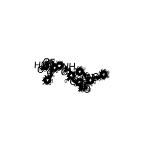 Cc1cc(CC(=O)Nc2ccc3c(F)c(N4CC(=O)NS4(=O)=O)c(OCc4ccccc4)cc3c2)ccc1Oc1ccc2c(c1)n(C)c(=O)n2-c1ccc(OCc2ccccc2)nc1OCc1ccccc1